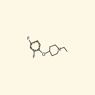 CCN1CCC(Oc2ccc(F)cc2F)CC1